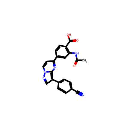 CC(=O)Nc1cc(-c2ccn3ncc(-c4ccc(C#N)cc4)c3n2)ccc1C(=O)O